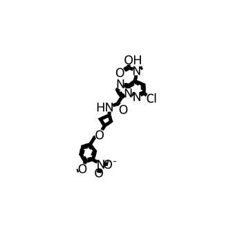 COc1ccc(COC2CC(NC(=O)c3cnc4c(N(C)C(=O)O)cc(Cl)nn34)C2)cc1[N+](=O)[O-]